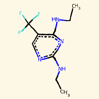 CCNc1ncc(C(F)(F)F)c(NCC)n1